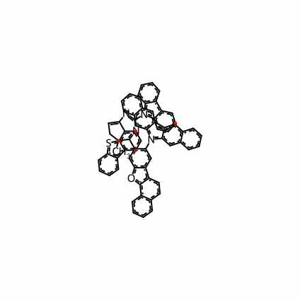 CC1C/C=C(c2cccc3c2sc2ccccc23)/N=C(n2c3ccccc3c3ccccc32)\N=C/1c1cc2oc3c4ccccc4ccc3c2cc1-n1c2cc3ccccc3cc2c2cc3ccccc3cc21